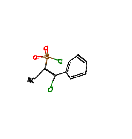 N#CC(C(Cl)c1ccccc1)S(=O)(=O)Cl